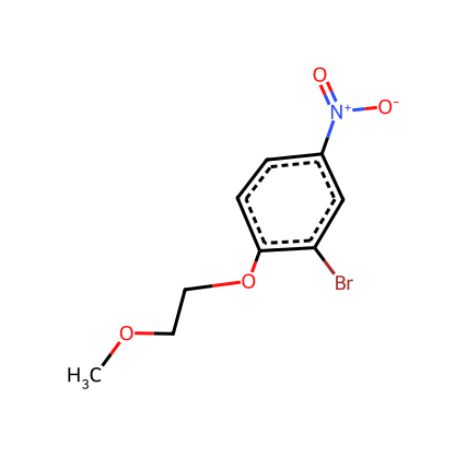 COCCOc1ccc([N+](=O)[O-])cc1Br